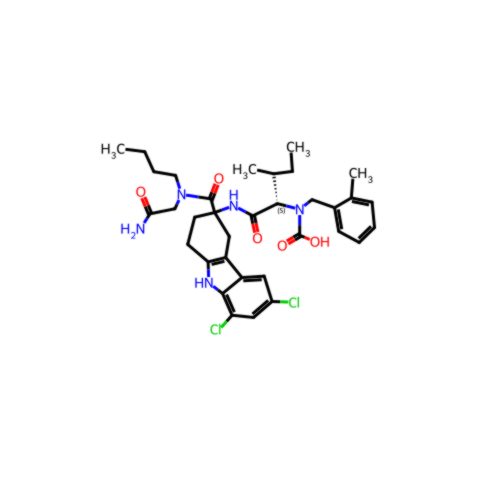 CCCCN(CC(N)=O)C(=O)C1(NC(=O)[C@H](C(C)CC)N(Cc2ccccc2C)C(=O)O)CCc2[nH]c3c(Cl)cc(Cl)cc3c2C1